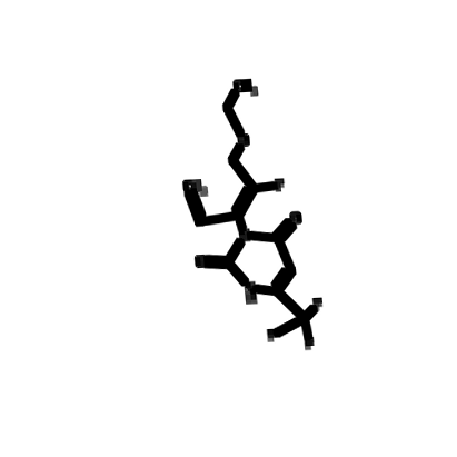 C=C/C(=C(/F)COCC)n1c(=O)cc(C(F)(F)F)[nH]c1=O